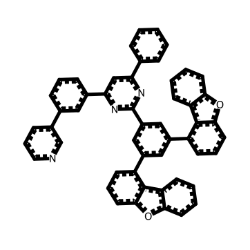 c1ccc(-c2cc(-c3cccc(-c4cccnc4)c3)nc(-c3cc(-c4cccc5oc6ccccc6c45)cc(-c4cccc5oc6ccccc6c45)c3)n2)cc1